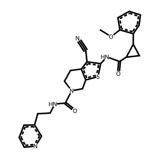 COc1ccccc1C1CC1C(=O)Nc1sc2c(c1C#N)CCN(C(=O)NCCc1cccnc1)C2